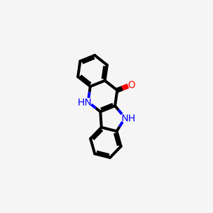 O=c1c2ccccc2[nH]c2c1[nH]c1ccccc12